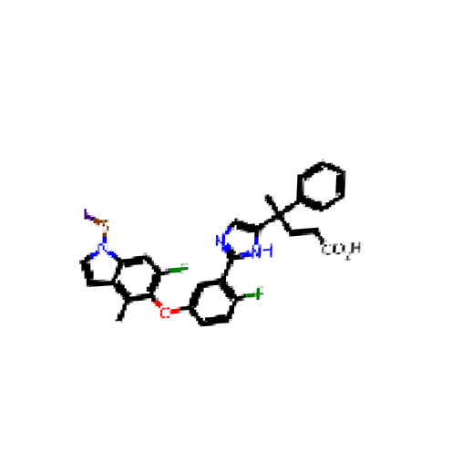 Cc1c(Oc2ccc(F)c(-c3ncc(C(C)(CCC(=O)O)c4ccccc4)[nH]3)c2)c(F)cc2c1ccn2SI